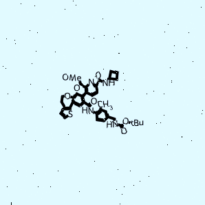 COC(=O)c1nc(C(=O)NC2CCC2)ccc1-c1cc2c(cc1C(=O)Nc1ccc(CNC(=O)OC(C)(C)C)cc1C)-c1sccc1CCO2